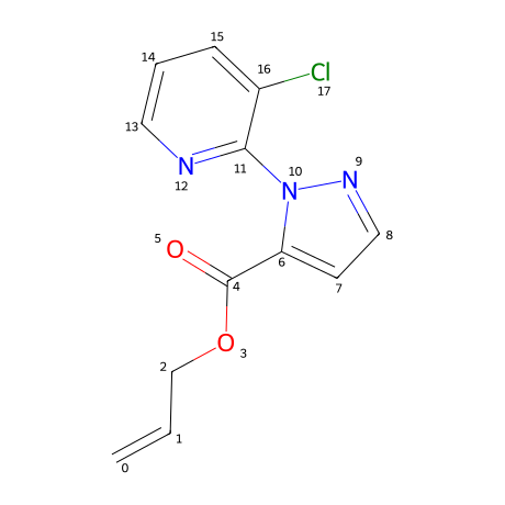 C=CCOC(=O)c1ccnn1-c1ncccc1Cl